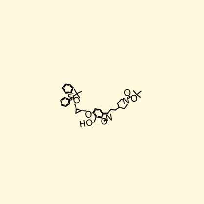 CC(C)(C)OC(=O)N1CCC(CCc2noc3c(CO)c(OC[C@H]4C[C@H]4CO[Si](c4ccccc4)(c4ccccc4)C(C)(C)C)ccc23)CC1